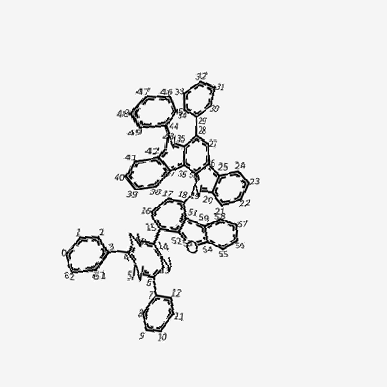 c1ccc(-c2nc(-c3ccccc3)nc(-c3ccc(-n4c5ccccc5c5cc(-c6ccccc6)c6c(c7ccccc7n6-c6ccccc6)c54)c4c3oc3ccccc34)n2)cc1